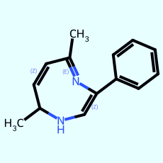 CC1=N\C(c2ccccc2)=C/NC(C)/C=C\1